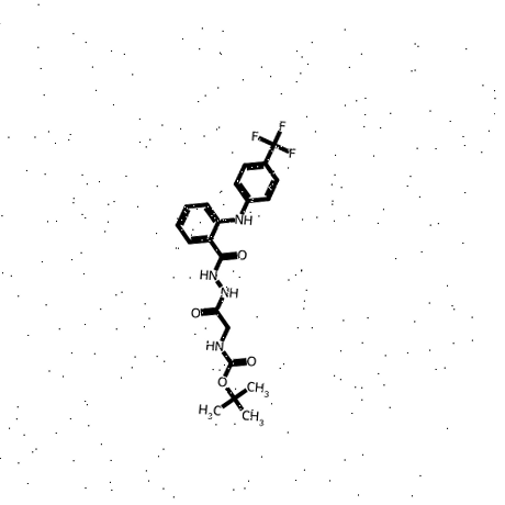 CC(C)(C)OC(=O)NCC(=O)NNC(=O)c1ccccc1Nc1ccc(C(F)(F)F)cc1